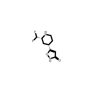 O=c1cc([C@H]2CCN[C@@H](C(F)F)C2)o[nH]1